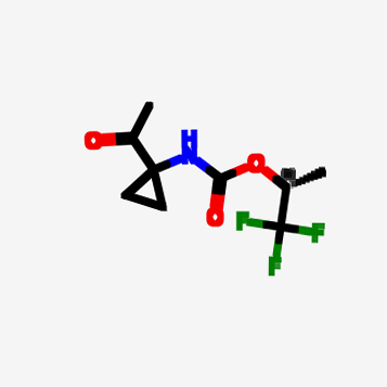 CC(=O)C1(NC(=O)O[C@H](C)C(F)(F)F)CC1